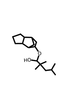 CC(C)CC(C)(C)C(O)OC1CC2CC1C1CCCC21